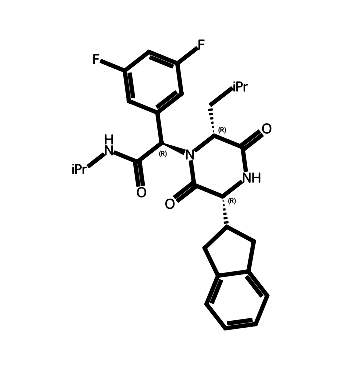 CC(C)C[C@@H]1C(=O)N[C@H](C2Cc3ccccc3C2)C(=O)N1[C@@H](C(=O)NC(C)C)c1cc(F)cc(F)c1